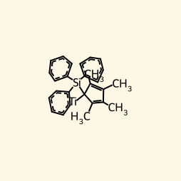 CC1=C(C)[C]([Ti])([Si](c2ccccc2)(c2ccccc2)c2ccccc2)C(C)=C1C